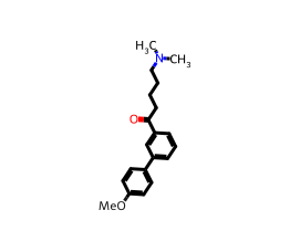 COc1ccc(-c2cccc(C(=O)CCCCN(C)C)c2)cc1